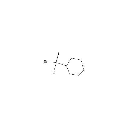 CCC(Cl)(I)C1CCCCC1